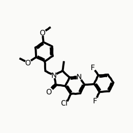 COc1ccc(CN2C(=O)c3c(Cl)cc(-c4c(F)cccc4F)nc3C2C)c(OC)c1